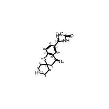 O=C1CC2(CCNCC2)Sc2ccc(-c3noc(=O)[nH]3)cc21